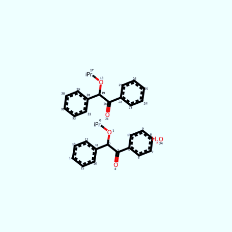 CC(C)OC(C(=O)c1ccccc1)c1ccccc1.CC(C)OC(C(=O)c1ccccc1)c1ccccc1.O